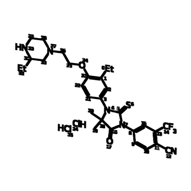 CCc1cc(N2C(=S)N(c3ccc(C#N)c(C(F)(F)F)c3)C(=O)C2(C)C)ccc1OCCN1CCNC(CC)C1.Cl.Cl